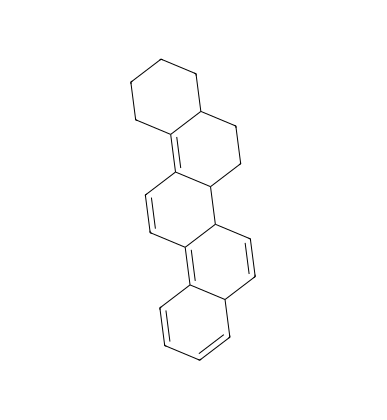 C1=CC2=C3C=CC4=C5CCCCC5CCC4C3C=CC2C=C1